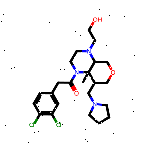 CC12C(CN3CCCC3)COCC1N(CCO)CCN2C(=O)Cc1ccc(Cl)c(Cl)c1